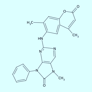 Cc1cc2oc(=O)cc(C)c2cc1Nc1ncc2c(n1)n(-c1ccccc1)c(=O)n2C